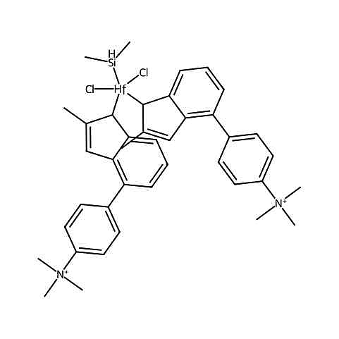 CC1=Cc2c(-c3ccc([N+](C)(C)C)cc3)cccc2[CH]1[Hf]([Cl])([Cl])([CH]1C(C)=Cc2c(-c3ccc([N+](C)(C)C)cc3)cccc21)[SiH](C)C